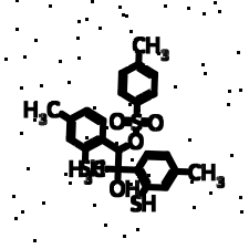 Cc1ccc(S(=O)(=O)OC(c2ccc(C)cc2S)C(C)(O)c2ccc(C)cc2S)cc1